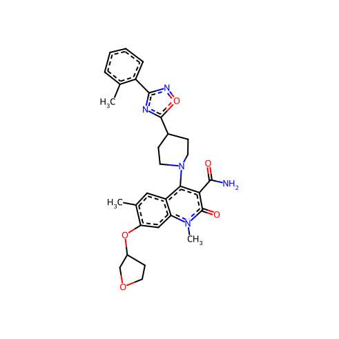 Cc1cc2c(N3CCC(c4nc(-c5ccccc5C)no4)CC3)c(C(N)=O)c(=O)n(C)c2cc1OC1CCOC1